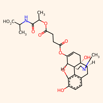 CC(NC(=O)C(C)OC(=O)CCC(=O)OC1=CC[C@@]2(O)[C@H]3Cc4ccc(O)c5c4[C@@]2(CCN3C)[C@H]1O5)C(=O)O